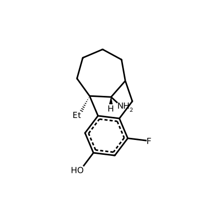 CC[C@@]12CCCCC(Cc3c(F)cc(O)cc31)[C@@H]2N